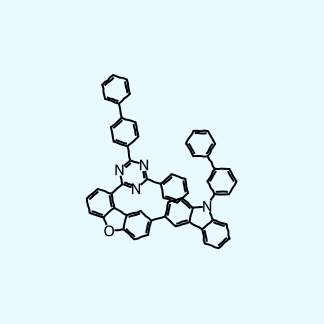 c1ccc(-c2ccc(-c3nc(-c4ccccc4)nc(-c4cccc5oc6ccc(-c7ccc8c(c7)c7ccccc7n8-c7cccc(-c8ccccc8)c7)cc6c45)n3)cc2)cc1